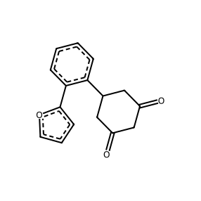 O=C1CC(=O)CC(c2ccccc2-c2ccco2)C1